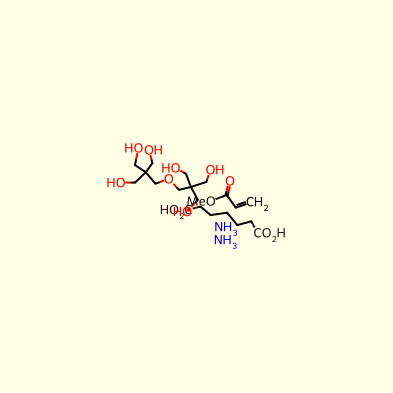 C=CC(=O)OC.N.N.O=C(O)CCCCCC(=O)O.OCC(CO)(CO)COCC(CO)(CO)CO